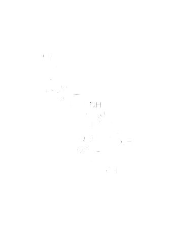 Cc1ccc(S(=O)(=O)OCCc2c(S(=O)(=O)c3ccc(C)cc3)[nH]c3ccc(OS(=O)(=O)c4ccc(C)cc4)cc23)cc1